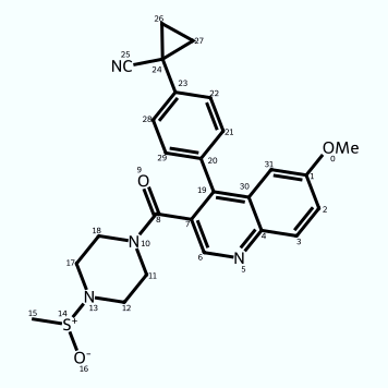 COc1ccc2ncc(C(=O)N3CCN([S+](C)[O-])CC3)c(-c3ccc(C4(C#N)CC4)cc3)c2c1